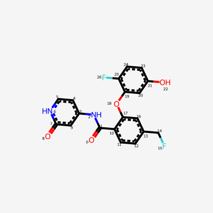 O=C(Nc1cc[nH]c(=O)c1)c1ccc(CF)cc1Oc1cc(O)ccc1F